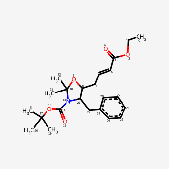 CCOC(=O)C=CCC1OC(C)(C)N(C(=O)OC(C)(C)C)C1Cc1ccccc1